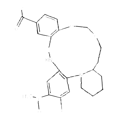 C[S+]([O-])c1cc2c(cc1F)N1CCCCC1CCCCOc1ccc(C(=O)O)cc1SN2